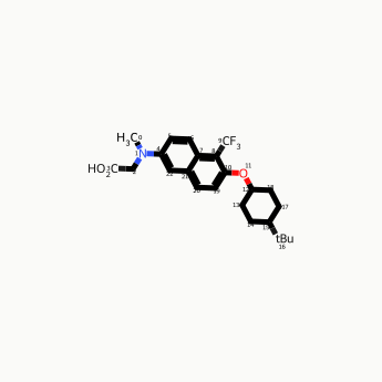 CN(CC(=O)O)c1ccc2c(C(F)(F)F)c(OC3CCC(C(C)(C)C)CC3)ccc2c1